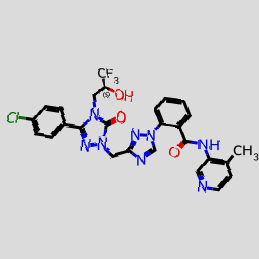 Cc1ccncc1NC(=O)c1ccccc1-n1cnc(Cn2nc(-c3ccc(Cl)cc3)n(C[C@H](O)C(F)(F)F)c2=O)n1